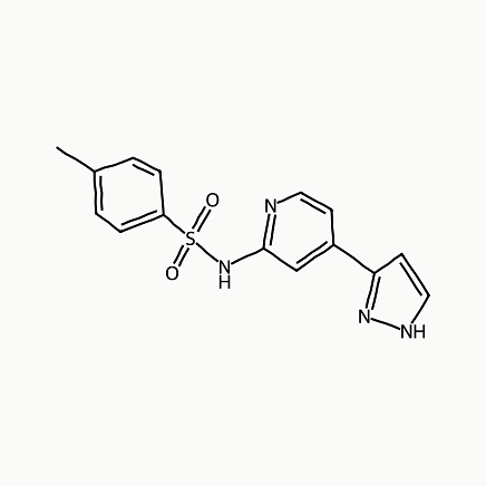 Cc1ccc(S(=O)(=O)Nc2cc(-c3cc[nH]n3)ccn2)cc1